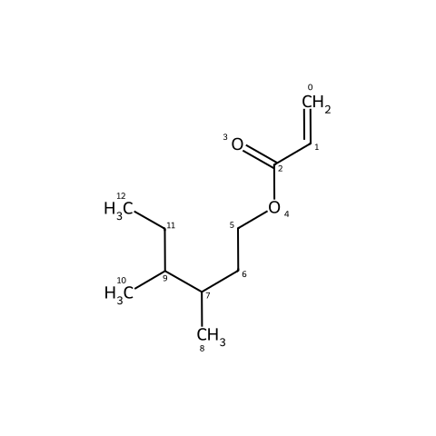 C=CC(=O)OCCC(C)C(C)CC